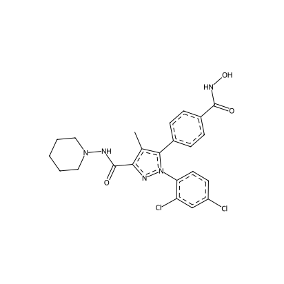 Cc1c(C(=O)NN2CCCCC2)nn(-c2ccc(Cl)cc2Cl)c1-c1ccc(C(=O)NO)cc1